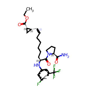 CCOC(=O)[C@H]1C[C@H]1/C=C\CCCCC[C@H](Nc1cc(F)cc(C(F)(F)F)c1)C(=O)N1CCC[C@H]1C(N)=O